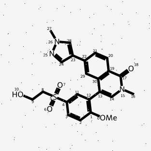 COc1ccc(S(=O)(=O)CCO)cc1-c1cn(C)c(=O)c2ccc(-c3cnn(C)c3)cc12